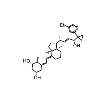 C=C1/C(=C\C=C2/CCC[C@]3(C)[C@@H]([C@H](C)/C=C/[C@H](O)C4(c5cc(CC)cs5)CC4)CC[C@@H]23)C[C@@H](O)C[C@@H]1O